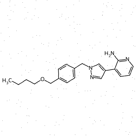 CCCCOCc1ccc(Cn2cc(-c3cccnc3N)cn2)cc1